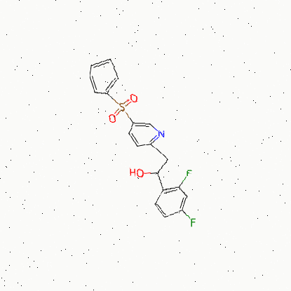 O=S(=O)(c1ccccc1)c1ccc(CC(O)c2ccc(F)cc2F)nc1